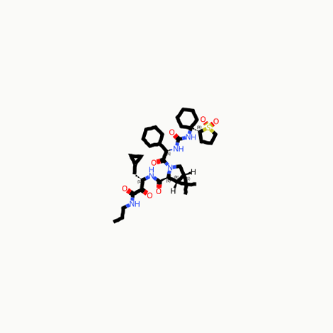 CCCNC(=O)C(=O)[C@H](CC1CC1)NC(=O)[C@@H]1[C@@H]2[C@H](CN1C(=O)[C@@H](NC(=O)NC1([C@H]3CCCS3(=O)=O)CCCCC1)C1CCCCC1)C2(C)C